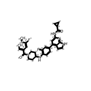 C=N/C(F)=C\C(=C/C)C(=O)N1CCC(Nc2ccc(-c3cc(NC(=O)C4CC4)nc4[nH]ccc34)cc2F)CC1